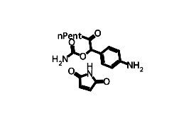 CCCCCC(=O)C(OC(N)=O)c1ccc(N)cc1.O=C1C=CC(=O)N1